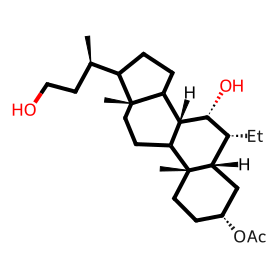 CC[C@H]1[C@@H](O)[C@H]2C3CCC([C@H](C)CCO)[C@@]3(C)CCC2[C@@]2(C)CC[C@@H](OC(C)=O)C[C@@H]12